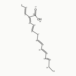 CC=CC(=CC=CCC=CC=CC=CCC)C(=O)O